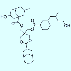 CC(CCO)CC1CCCC(C(=O)OCC2(COC(=O)C34CC(C)CC(CC(O)C3)C4)COC(C3CC4CCCC(C4)C3)OC2)C1